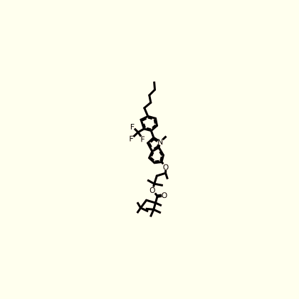 CCCCCc1ccc(-c2cc3ccc(OC(C)CC(C)(C)OC(=O)C(C)(CC(C)(C)C)C(C)(C)C)cc3n2C)c(C(F)(F)F)c1